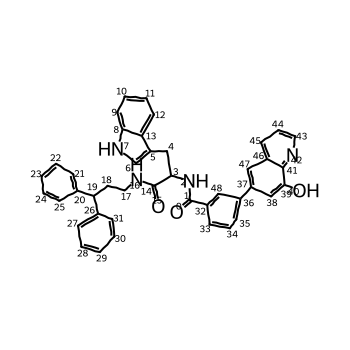 O=C(NC(Cc1c[nH]c2ccccc12)C(=O)NCCC(c1ccccc1)c1ccccc1)c1cccc(-c2cc(O)c3ncccc3c2)c1